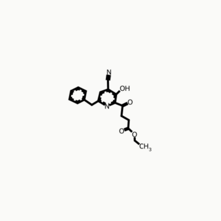 CCOC(=O)CCC(=O)c1nc(Cc2ccccc2)cc(C#N)c1O